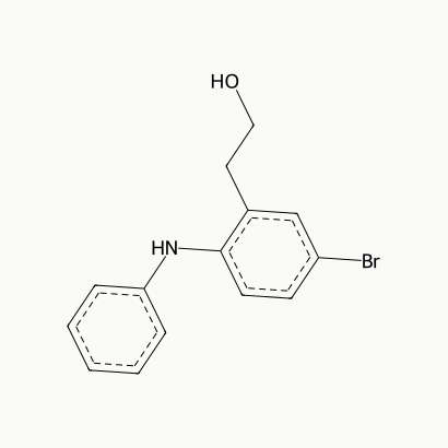 OCCc1cc(Br)ccc1Nc1ccccc1